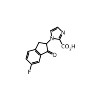 O=C(O)c1nccn1C1Cc2ccc(F)cc2C1=O